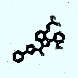 CCC(c1cn(-c2ccccc2)nn1)n1cc(-c2cncnc2OC)c2c(/N=C/N(C)C)ncnc21